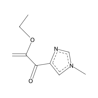 C=C(OCC)C(=O)c1cn(C)cn1